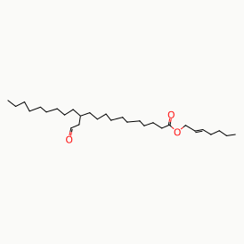 CCCCC=CCOC(=O)CCCCCCCCCCC(CC=O)CCCCCCCCC